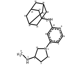 CNC1CCN(c2ccnc(NC34CC5CC(CC(C5)C3)C4)c2)C1